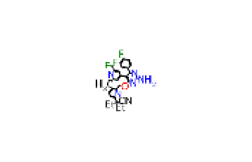 CCC(C#N)(CC)c1cccc(COc2nc(N)nc(-c3ccc(F)cc3)c2-c2cc(C)nc(C(F)F)c2)n1